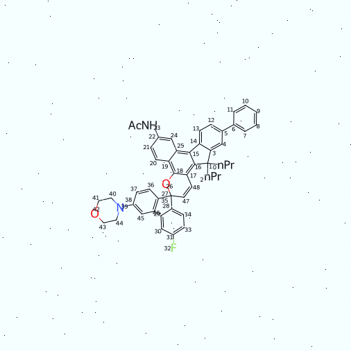 CCCC1(CCC)c2cc(-c3ccccc3)ccc2-c2c1c1c(c3ccc(NC(C)=O)cc23)OC(c2ccc(F)cc2)(c2ccc(N3CCOCC3)cc2)C=C1